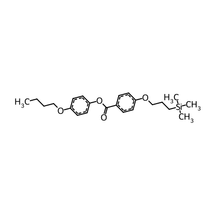 CCCCOc1ccc(OC(=O)c2ccc(OCCC[Si](C)(C)C)cc2)cc1